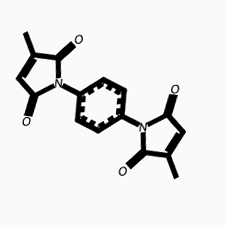 CC1=CC(=O)N(c2ccc(N3C(=O)C=C(C)C3=O)cc2)C1=O